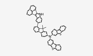 CC1(C)c2cc(N(c3ccc4c(c3)sc3ccccc34)c3ccc4sc5ccccc5c4c3)ccc2-c2cccc(-c3ccc4[nH]c5c(c4c3)-c3cccc4cccc-5c34)c21